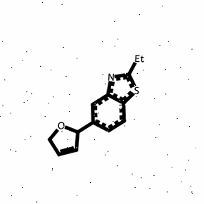 CCc1nc2cc(C3C=CCO3)ccc2s1